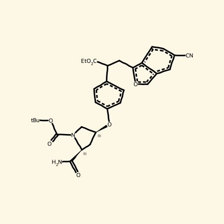 CCOC(=O)C(Cc1occ2cc(C#N)ccc12)c1ccc(O[C@H]2C[C@@H](C(N)=O)N(C(=O)OC(C)(C)C)C2)cc1